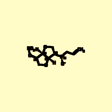 C=CC[S@+]([O-])[C@@H]1CO[C@H]2[C@@H]1OC[C@H]2O[N+](=O)[O-]